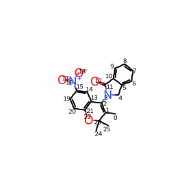 CC1=C(N2Cc3ccccc3C2=O)c2cc([N+](=O)[O-])ccc2OC1(C)C